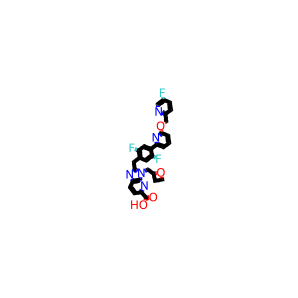 O=C(O)c1ccc2nc(Cc3cc(F)c(-c4cccc(OCc5ccc(F)cn5)n4)cc3F)n(CC3CCO3)c2n1